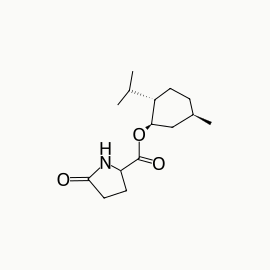 CC(C)[C@@H]1CC[C@@H](C)C[C@H]1OC(=O)C1CCC(=O)N1